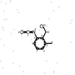 Cc1cccc(N=C=O)c1CCl